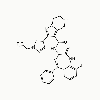 C[C@H]1CCn2nc(-c3cnn(CC(F)(F)F)c3)c(C(=O)N[C@H]3N=C(c4ccccc4)c4cccc(F)c4NC3=O)c2O1